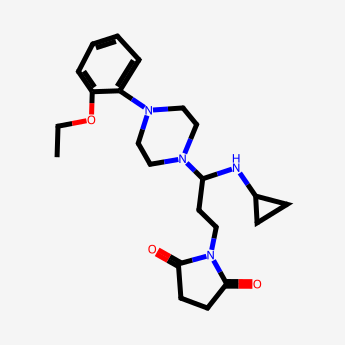 CCOc1ccccc1N1CCN(C(CCN2C(=O)CCC2=O)NC2CC2)CC1